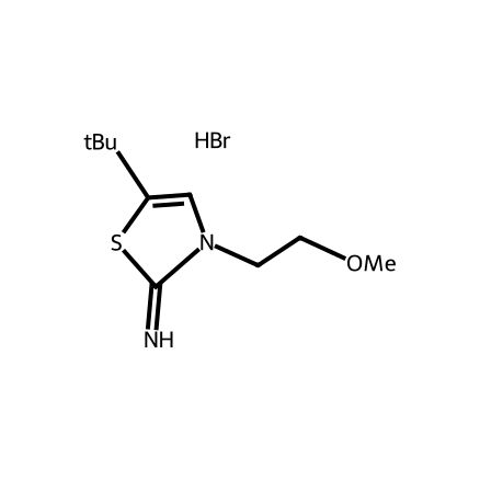 Br.COCCn1cc(C(C)(C)C)sc1=N